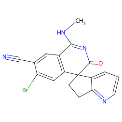 CNC1=NC(=O)C2(CCc3ncccc32)c2cc(Br)c(C#N)cc21